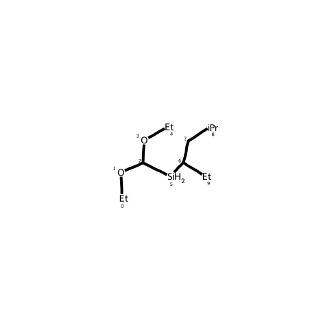 CCOC(OCC)[SiH2]C([CH]C(C)C)CC